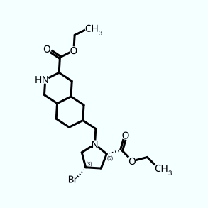 CCOC(=O)C1CC2CC(CN3C[C@@H](Br)C[C@H]3C(=O)OCC)CCC2CN1